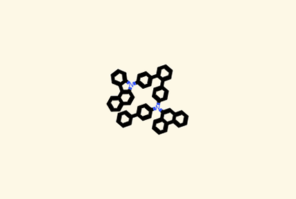 c1ccc(-c2ccc(N(c3ccc(-c4ccccc4-c4ccc(-n5c6ccccc6c6c7ccccc7ccc65)cc4)cc3)c3cc4ccccc4c4ccccc34)cc2)cc1